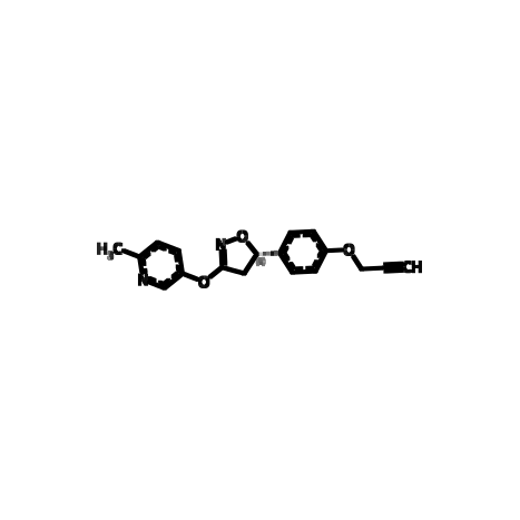 C#CCOc1ccc([C@@H]2CC(Oc3ccc(C)nc3)=NO2)cc1